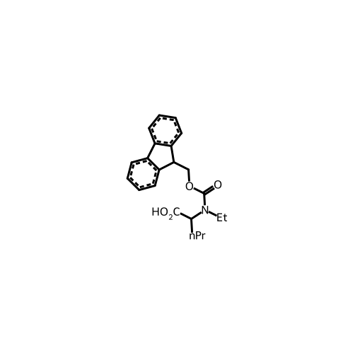 CCCC(C(=O)O)N(CC)C(=O)OCC1c2ccccc2-c2ccccc21